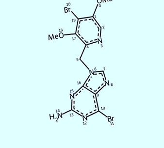 COc1cnc(Cn2cnc3c(Br)nc(N)nc32)c(OC)c1Br